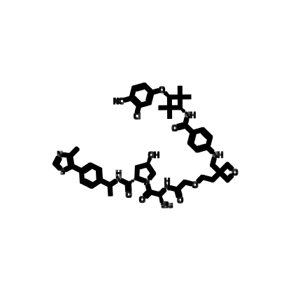 Cc1ncsc1-c1ccc(C(C)NC(=O)[C@@H]2C[C@@H](O)CN2C(=O)[C@@H](NC(=O)COCCC2(CNc3ccc(C(=O)N[C@H]4C(C)(C)[C@H](Oc5ccc(C#N)c(Cl)c5)C4(C)C)cc3)COC2)C(C)(C)C)cc1